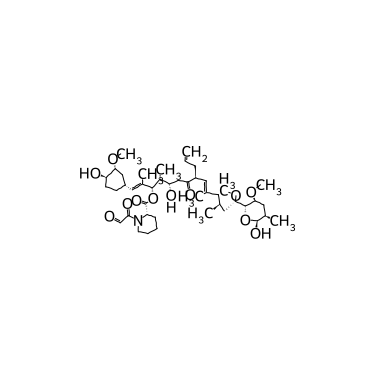 C=CC[C@@H](/C=C(\C)C[C@H](C)C[C@H](OC)[C@H]1O[C@H](O)[C@H](C)C[C@@H]1OC)C(=O)C[C@H](O)[C@@H](C)[C@H](OC(=O)[C@@H]1CCCCN1C(=O)C=O)/C(C)=C/[C@@H]1CC[C@@H](O)[C@H](OC)C1